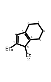 CCC1=[C]C2=C(CCCC2)C1CC